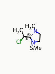 CSN1CCN(C)[C@H]1[C@H](C)Cl